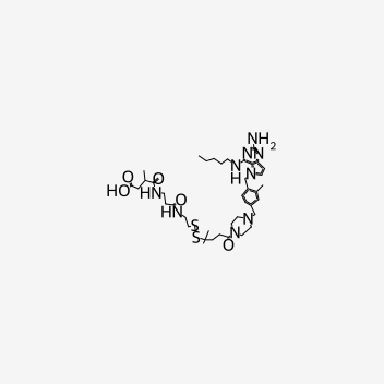 CCCCCNc1nc(N)nc2ccn(Cc3ccc(CN4CCN(C(=O)CCC(C)(C)SSCCNC(=O)CCNC(=O)C(C)CC(=O)O)CC4)cc3C)c12